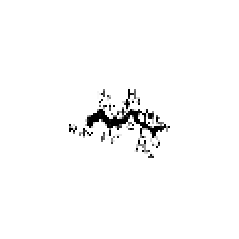 CNCC(C)CC(C)(C)C(=O)NC(C)(N)CC(C)(C)C(=O)C(C)C